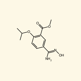 COC(=O)c1cc(/C(N)=N/O)ccc1OC(C)C